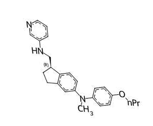 CCCOc1ccc(N(C)c2ccc3c(c2)CC[C@H]3CNc2cccnc2)cc1